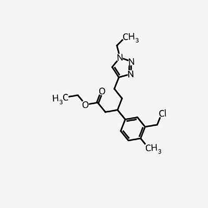 CCOC(=O)CC(CCc1cn(CC)nn1)c1ccc(C)c(CCl)c1